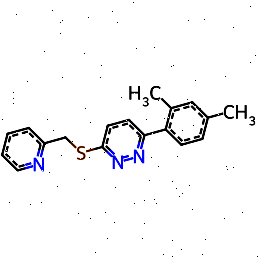 Cc1ccc(-c2ccc(SCc3ccccn3)nn2)c(C)c1